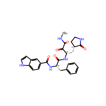 CC(C)(C)NC(=O)C(=O)[C@H](C[C@@H]1CCNC1=O)NC(=O)[C@H](Cc1ccccc1)NC(=O)c1ccc2[nH]ccc2c1